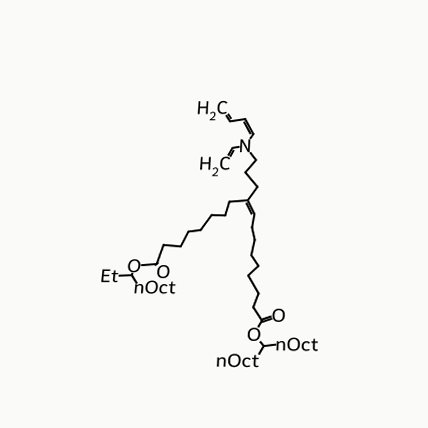 C=C/C=C\N(C=C)CCC/C(=C/CCCCCCCC(=O)OC(CCCCCCCC)CCCCCCCC)CCCCCCCC(=O)OC(CC)CCCCCCCC